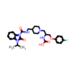 CC(C)n1c(=O)n(C(=O)NCC2CCN(CC(COc3ccc(F)cc3)NC(=O)O)CC2)c2ccccc21